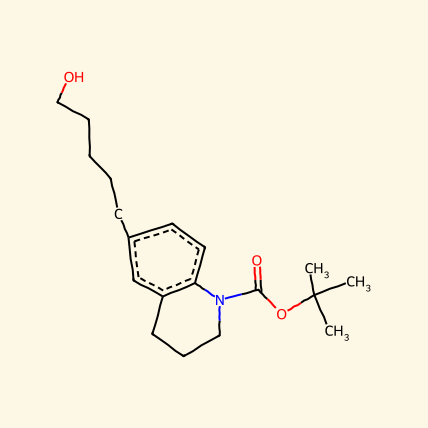 CC(C)(C)OC(=O)N1CCCc2cc(CCCCCO)ccc21